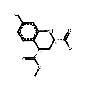 COC(=O)[C@H]1C[C@@H](C(=O)O)Nc2cc(Cl)ccc21